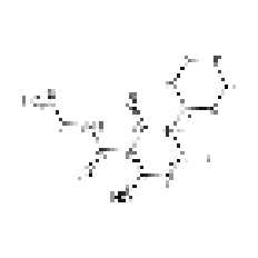 Cc1nc(O)c(C(=O)NCC(=O)O)c(=O)n1C1CCCCC1